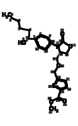 CCCCC[C@@H](O)c1ccc(N2C(=O)OC[C@@H]2COCc2ccc(C(=O)OC)s2)cc1